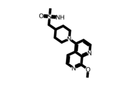 COc1nccc2c(N3CCC(CS(C)(=N)=O)CC3)ccnc12